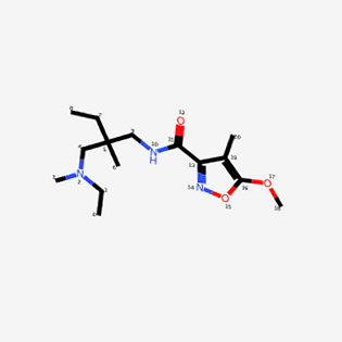 CCN(C)CC(C)(CC)CNC(=O)c1noc(OC)c1C